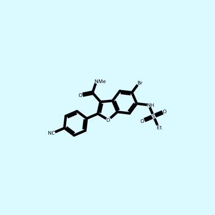 CCS(=O)(=O)Nc1cc2oc(-c3ccc(C#N)cc3)c(C(=O)NC)c2cc1Br